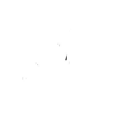 C[C@H](c1cccc2ccccc12)N(C(=O)Cl)C1CCCN(C(=O)O)C1Cc1ccccc1